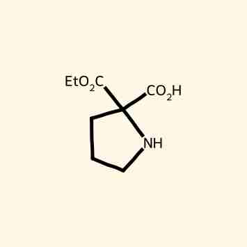 CCOC(=O)C1(C(=O)O)CCCN1